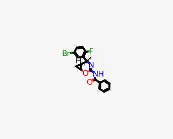 C[C@@]1(c2cc(Br)ccc2F)N=C(NC(=O)c2ccccc2)OC2C[C@@H]21